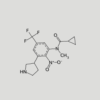 CN(C(=O)C1CC1)c1cc(C(F)(F)F)cc(C2CCNC2)c1[N+](=O)[O-]